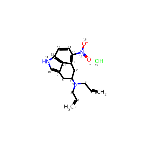 C=CCN(CC=C)C1Cc2c[nH]c3ccc([N+](=O)[O-])c(c23)C1.Cl